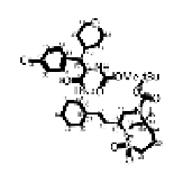 COC(=O)N[C@H](C(=O)N[C@H]1CCCC[C@@H]1CC[C@H]1CN(C(=O)OC(C)(C)C)[C@@H]2CCCS(=O)(=O)N1C2)[C@@H](c1ccc(Cl)cc1)C1CCOCC1